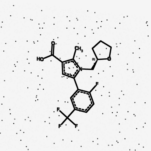 Cc1c(C(=O)O)cc(-c2cc(C(F)(F)F)ccc2F)n1C[C@H]1CCCO1